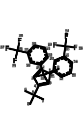 CC1[C]=C2C(C(C)(C)C)=C1C2(c1cccc(C(F)(F)F)c1)c1cccc(C(F)(F)F)c1